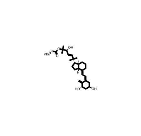 C=C1/C(=C\C=C2/CCC[C@]3(C)[C@@H](C(C)(C)/C=C/[C@@H](O)C(C)(C)OC(=O)OCCCC)CC[C@@H]23)C[C@@H](O)C[C@@H]1O